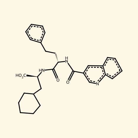 O=C(N[C@@H](CCc1ccccc1)C(=O)N[C@@H](CC1CCCCC1)C(=O)O)c1cnc2ccccc2c1